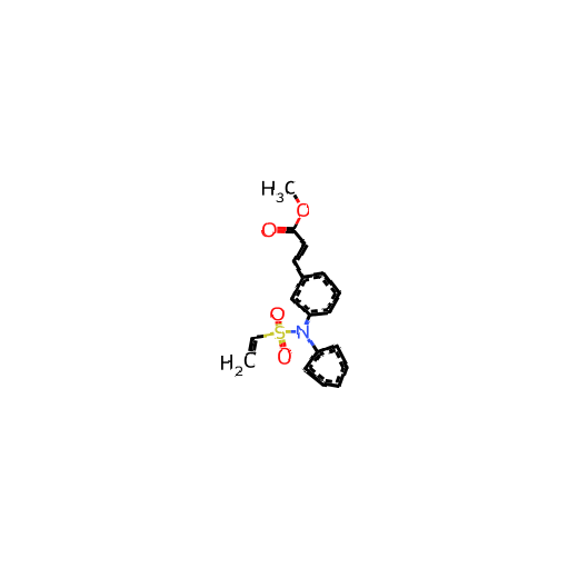 C=CS(=O)(=O)N(c1ccccc1)c1cccc(/C=C/C(=O)OC)c1